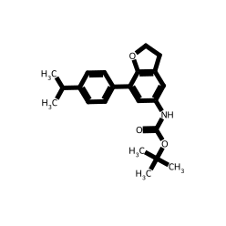 CC(C)c1ccc(-c2cc(NC(=O)OC(C)(C)C)cc3c2OCC3)cc1